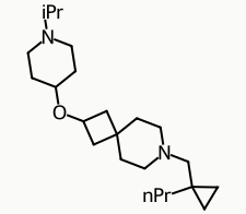 CCCC1(CN2CCC3(CC2)CC(OC2CCN(C(C)C)CC2)C3)CC1